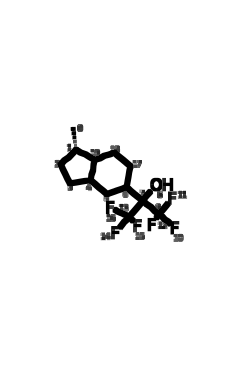 C[C@H]1CCC2CC(C(O)(C(F)(F)F)C(F)(F)F)CCC21